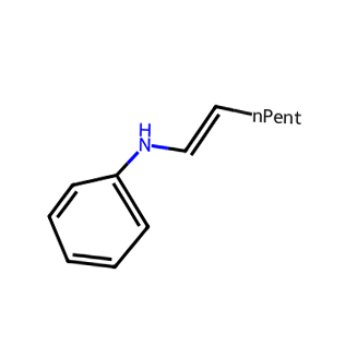 CCCCCC=CNc1ccccc1